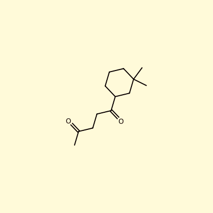 CC(=O)CCC(=O)C1CCCC(C)(C)C1